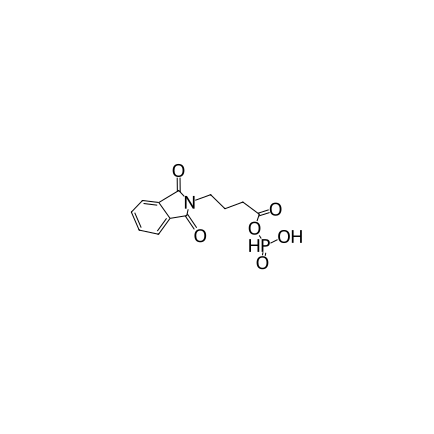 O=C(CCCN1C(=O)c2ccccc2C1=O)O[PH](=O)O